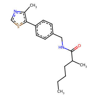 CCCCC(C)C(=O)NCc1ccc(-c2scnc2C)cc1